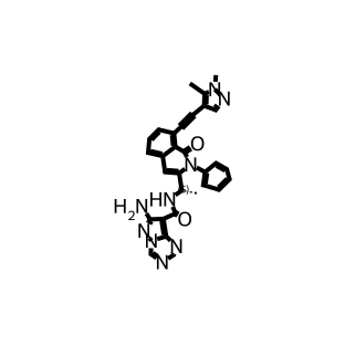 Cc1c(C#Cc2cccc3cc([C@H](C)NC(=O)c4c(N)nn5cncnc45)n(-c4ccccc4)c(=O)c23)cnn1C